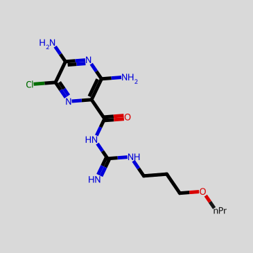 CCCOCCCNC(=N)NC(=O)c1nc(Cl)c(N)nc1N